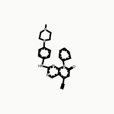 C#Cc1cc(=O)n(-c2ccccc2)c2nc(Nc3ccc(N4CCN(C)CC4)cc3)ncc12